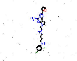 Nc1nc2c(ccn2CCNCCCCNc2ccc(F)cc2F)c2nc(-c3ccco3)nn12